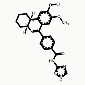 COc1cc2c(cc1OC)[C@H]1CCCC[C@H]1N=C2c1ccc(C(=O)Nc2nc[nH]n2)cc1